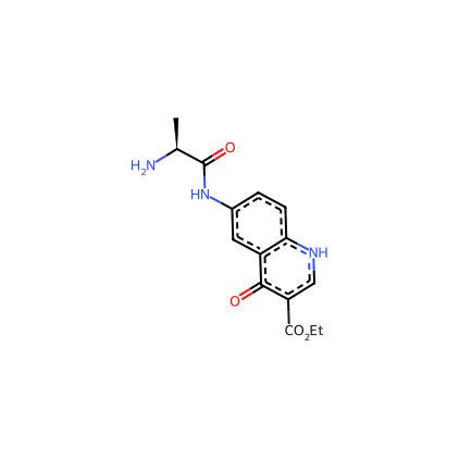 CCOC(=O)c1c[nH]c2ccc(NC(=O)[C@H](C)N)cc2c1=O